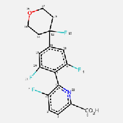 O=C(O)c1ccc(F)c(-c2c(F)cc(C3(F)CCOCC3)cc2F)n1